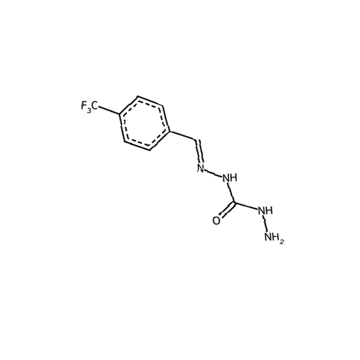 NNC(=O)NN=Cc1ccc(C(F)(F)F)cc1